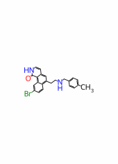 Cc1ccc(CNCCc2cc3cc[nH]c(=O)c3c3cc(Br)ccc23)cc1